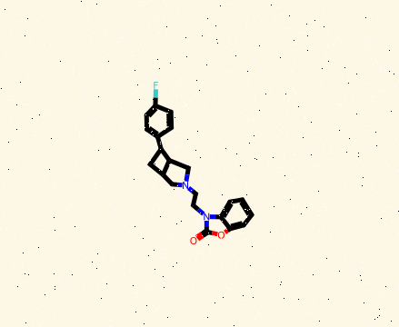 O=c1oc2ccccc2n1CCN1CC2CC(c3ccc(F)cc3)C2C1